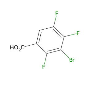 O=C(O)c1cc(F)c(F)c(Br)c1F